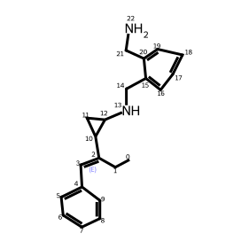 CC/C(=C\c1ccccc1)C1CC1NCc1ccccc1CN